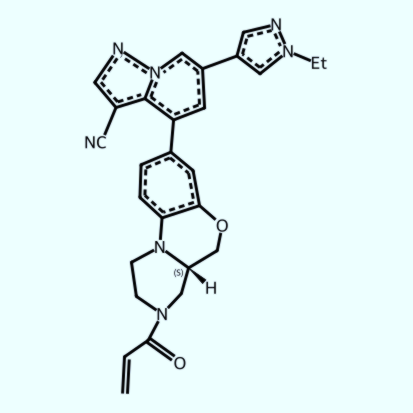 C=CC(=O)N1CCN2c3ccc(-c4cc(-c5cnn(CC)c5)cn5ncc(C#N)c45)cc3OC[C@@H]2C1